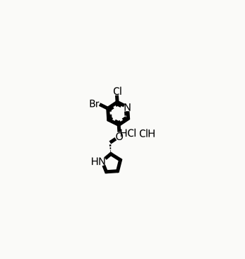 Cl.Cl.Clc1ncc(OC[C@@H]2CCCN2)cc1Br